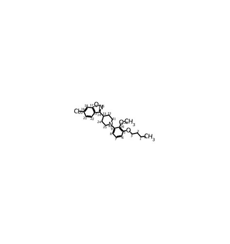 CCCCOc1[c]ccc(N2CCC(c3noc4cc(Cl)ccc34)CC2)c1OC